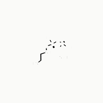 NCCNOP(=O)(O)OP(=O)(O)O.[NaH]